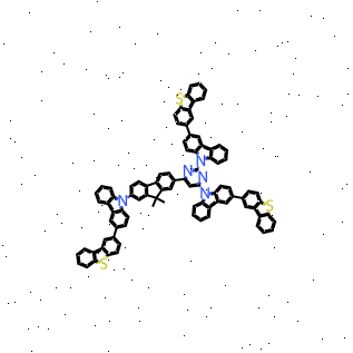 CC1(C)c2cc(-c3cc(-n4c5ccccc5c5cc(-c6ccc7sc8ccccc8c7c6)ccc54)nc(-n4c5ccccc5c5cc(-c6ccc7sc8ccccc8c7c6)ccc54)n3)ccc2-c2ccc(-n3c4ccccc4c4cc(-c5ccc6sc7ccccc7c6c5)ccc43)cc21